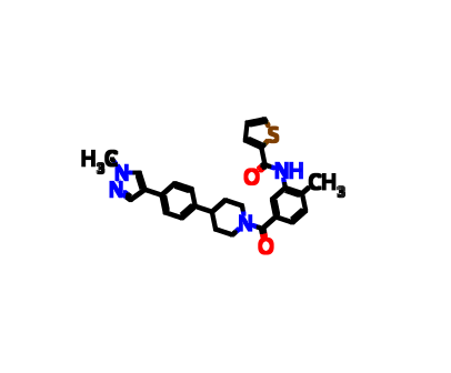 Cc1ccc(C(=O)N2CCC(c3ccc(-c4cnn(C)c4)cc3)CC2)cc1NC(=O)c1cccs1